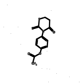 CC(=O)Oc1ccc(N2C(=O)CCSC2=S)cc1